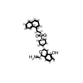 Cc1ccc2c(c1O)C[C@@H](C1CCN(S(=O)(=O)CCc3cccc4ccccc34)CC1)O[C@H]2CN